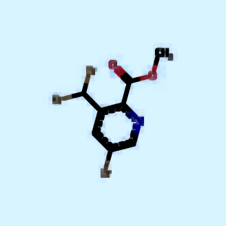 COC(=O)c1ncc(Br)cc1C(Br)Br